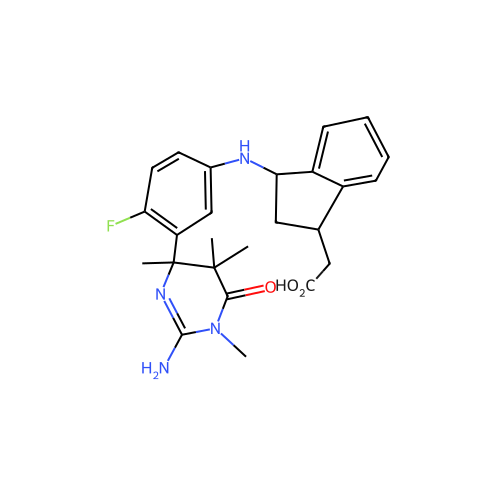 CN1C(=O)C(C)(C)C(C)(c2cc(NC3CC(CC(=O)O)c4ccccc43)ccc2F)N=C1N